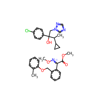 CC(C1CC1)C(O)(Cn1cncn1)c1ccc(Cl)cc1.CO/N=C(/C(=O)OC)c1ccccc1COc1ccccc1C